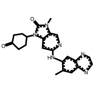 Cc1cc2nccnc2cc1Nc1cc2c(cn1)n(C)c(=O)n2C1CCC(=O)CC1